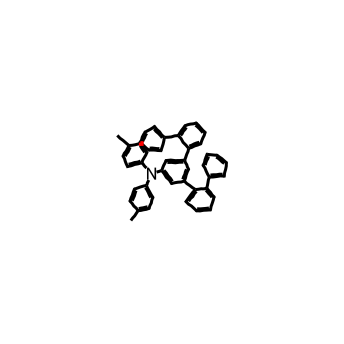 Cc1ccc(N(c2ccc(C)cc2)c2cc(-c3ccccc3-c3ccccc3)cc(-c3ccccc3-c3ccccc3)c2)cc1